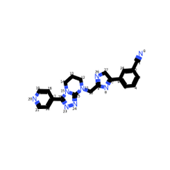 N#Cc1cccc(C2=NC(CN3CCCn4c(-c5ccncc5)nnc43)=NC2)c1